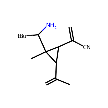 C=C(C)C1C(C(=C)C#N)C1(C)C(N)C(C)(C)C